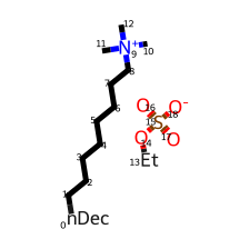 CCCCCCCCCCCCCCCCCC[N+](C)(C)C.CCOS(=O)(=O)[O-]